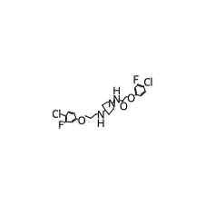 O=C(COc1ccc(Cl)c(F)c1)NN1CCC(NCCCOc2ccc(Cl)c(F)c2)CC1